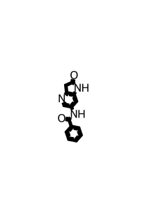 O=C1Cc2ncc(NC(=O)c3ccccc3)cc2N1